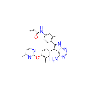 C=CC(=O)Nc1ccc(-c2c(-c3ccc(Oc4nccc(C)n4)c(C)c3)c3c(N)ncnc3n2C)c(C)c1